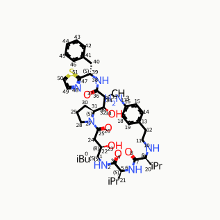 CC[C@H](C)[C@H](NC(=O)[C@@H](NC(=O)[C@@H](NCCc1ccc(N)cc1)C(C)C)C(C)C)[C@H](O)CC(=O)N1CCC[C@H]1[C@H](O)[C@@H](C)C(=O)N[C@@H](Cc1ccccc1)c1nccs1